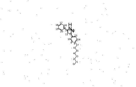 CCCCCCCCc1ccc(-c2cc(-c3ccccc3)[nH]n2)cc1